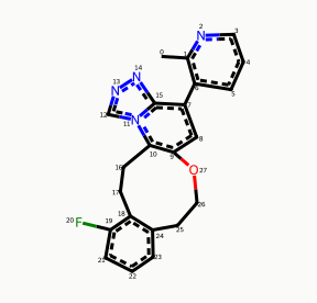 Cc1ncccc1-c1cc2c(n3cnnc13)CCc1c(F)cccc1CCO2